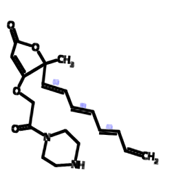 C=C/C=C/C=C/C=C/C1(C)OC(=O)C=C1OCC(=O)N1CCNCC1